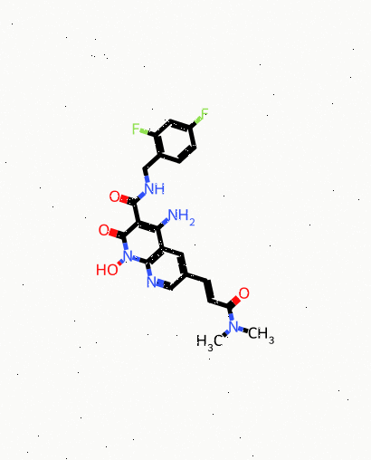 CN(C)C(=O)C=Cc1cnc2c(c1)c(N)c(C(=O)NCc1ccc(F)cc1F)c(=O)n2O